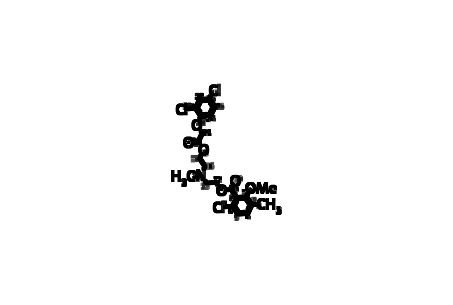 COc1c(C)ccc(Cl)c1C(=O)OCCN(C)CCOC(=O)COc1ccc(Cl)cc1Cl